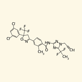 C#CCn1nc(NC(=O)c2ccc(C3=NOC(c4cc(Cl)cc(Cl)c4)(C(F)(F)F)C3)cc2C)nc1C(C)(F)F